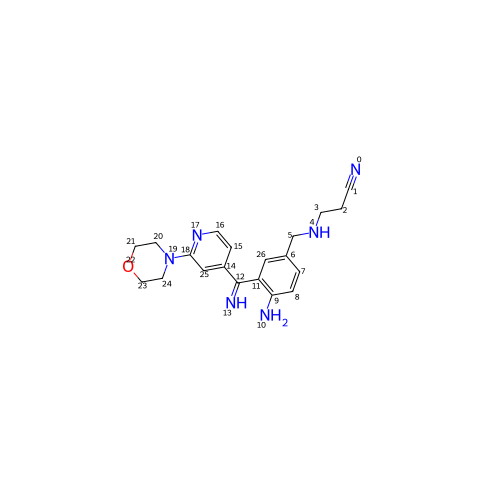 N#CCCNCc1ccc(N)c(C(=N)c2ccnc(N3CCOCC3)c2)c1